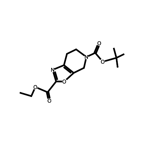 CCOC(=O)c1nc2c(o1)CN(C(=O)OC(C)(C)C)CC2